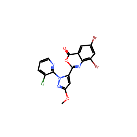 COc1cc(-c2nc3c(Br)cc(Br)cc3c(=O)o2)n(-c2ncccc2Cl)n1